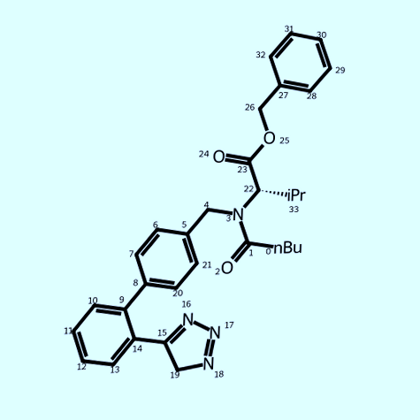 CCCCC(=O)N(Cc1ccc(-c2ccccc2C2=NN=NC2)cc1)[C@H](C(=O)OCc1ccccc1)C(C)C